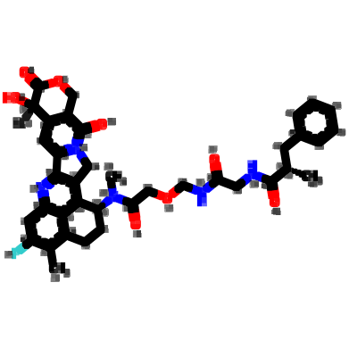 CC[C@@]1(O)C(=O)OCc2c1cc1n(c2=O)Cc2c-1nc1cc(F)c(C)c3c1c2[C@@H](N(C)C(=O)COCNC(=O)CNC(=O)[C@@H](C)Cc1ccccc1)CC3